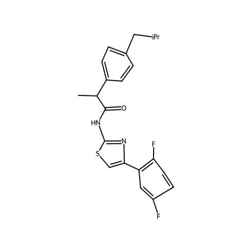 CC(C)Cc1ccc(C(C)C(=O)Nc2nc(-c3cc(F)ccc3F)cs2)cc1